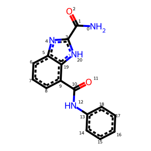 NC(=O)c1nc2cccc(C(=O)Nc3ccccc3)c2[nH]1